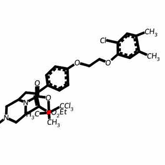 CCOC(=O)C1=C(c2ccc(OCCOc3cc(C)c(C)cc3Cl)cc2)CC2CN(C(C)=O)CC1N2C(=O)OC(C)(C)C(Cl)(Cl)Cl